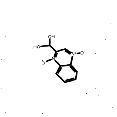 [O-][n+]1cc(C(O)O)[n+]([O-])c2ccccc21